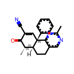 Cc1ncc2c(n1)[C@@]1(c3ccccc3)C=C(C#N)C(=O)[C@@H](C)[C@@H]1CC2